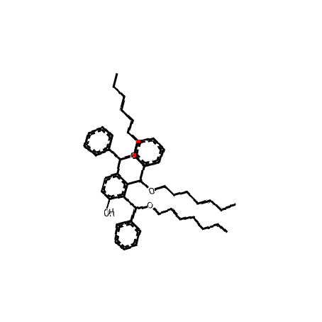 CCCCCCCOC(c1ccccc1)c1ccc(O)c(C(OCCCCCCC)c2ccccc2)c1C(OCCCCCCC)c1ccccc1